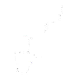 CC/C=C(\C)C(=O)C1CCCN1